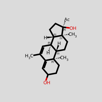 CC(=O)[C@@]1(O)CC[C@H]2[C@@H]3C=C(C)C4=CC(O)CC[C@]4(C)[C@H]3CC[C@@]21C